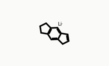 C1=Cc2cc3c(cc2C1)CCC3.[Li]